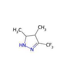 CC1NN=C(C(F)(F)F)C1C